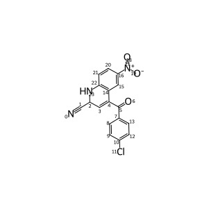 N#CC1C=C(C(=O)c2ccc(Cl)cc2)c2cc([N+](=O)[O-])ccc2N1